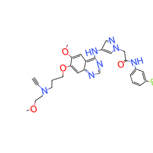 C#CN(CCCOc1cc2ncnc(Nc3cnn(CC(=O)Nc4cccc(F)c4)c3)c2cc1OC)CCOC